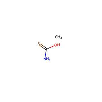 C.NC(O)=S